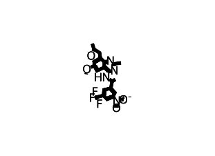 COc1cc2c(NC(C)c3cc([N+](=O)[O-])cc(C(F)(F)F)c3)nc(C)nc2c2c1OC(C)C2